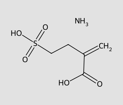 C=C(CCS(=O)(=O)O)C(=O)O.N